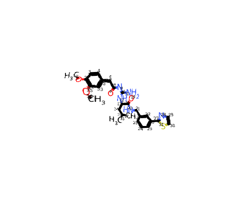 COc1ccc(CC(=O)N=C(N)NC(CC(C)C)C(=O)NCc2cccc(-c3nccs3)c2)cc1OC